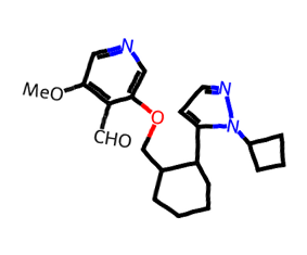 COc1cncc(OCC2CCCCC2c2ccnn2C2CCC2)c1C=O